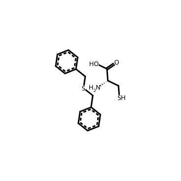 N[C@@H](CS)C(=O)O.c1ccc(CSCc2ccccc2)cc1